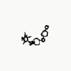 COc1ccc(OC2CCN(Sc3c(C)nn(C)c3C)CC2)cc1